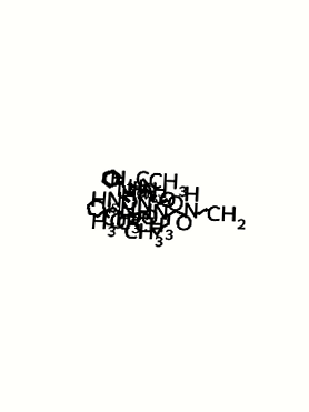 C=CCNC(=O)C(=O)C(CC1CC1)NC(=O)[C@@H]1[C@@H]2[C@H](CN1C(=O)[C@@H](NC(=O)[C@@H](NC(=O)Nc1ccccc1)C1(C)CCCCC1)C(C)(C)C)C2(C)C